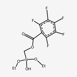 CCO[Si](O)(COC(=O)c1c(F)c(F)c(F)c(F)c1F)OCC